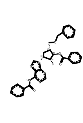 O=C(Nc1ncnc2c1ncn2[C@@H]1C[C@H](COCc2ccccc2)[C@@H](OC(=O)c2ccccc2)[C@@H]1F)c1ccccc1